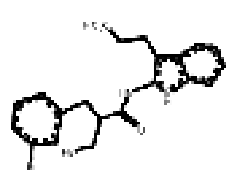 O=C(O)CCc1c(NC(=O)C(CS)Cc2cccc(Br)c2)[nH]c2ccccc12